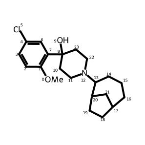 COc1ccc(Cl)cc1C1(O)CCN(C2CCCC3CCC2C3)CC1